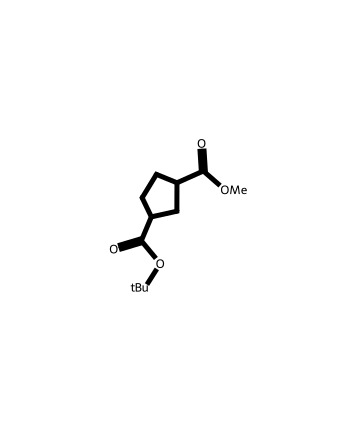 COC(=O)C1CCC(C(=O)OC(C)(C)C)C1